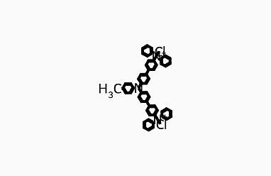 Cc1ccc(N(c2ccc(-c3ccc([N+](Cl)(c4ccccc4)c4ccccc4)cc3)cc2)c2ccc(-c3ccc([N+](Cl)(c4ccccc4)c4ccccc4)cc3)cc2)cc1